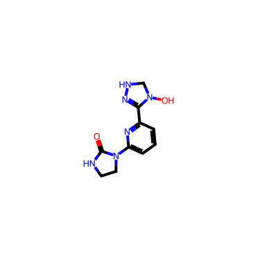 O=C1NCCN1c1cccc(C2=NNCN2O)n1